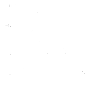 C=C(Nc1cnc(OC)c(S(=O)(=O)Nc2cccc3cncc(C)c23)c1)c1ncc(-c2ccccc2)o1